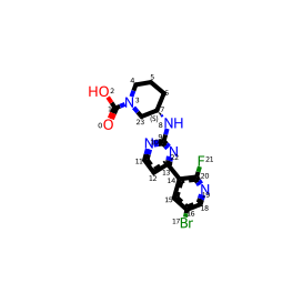 O=C(O)N1CCC[C@H](Nc2nccc(-c3cc(Br)cnc3F)n2)C1